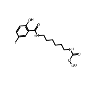 CC(C)(C)OC(=O)NCCCCCCNC(=O)c1cc(I)ccc1O